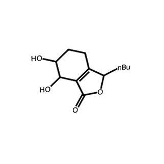 CCCCC1OC(=O)C2=C1CCC(O)C2O